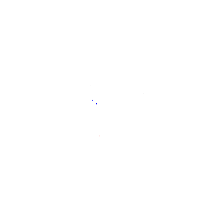 CC1=Cc2ccccc2N(c2ccccc2OC(F)(F)F)C1